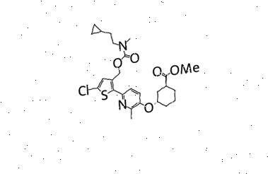 COC(=O)[C@H]1CCC[C@H](Oc2ccc(-c3sc(Cl)cc3COC(=O)N(C)CCC3CC3)nc2C)C1